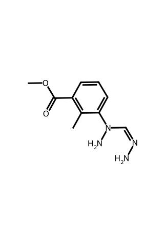 COC(=O)c1cccc(N(N)/C=N\N)c1C